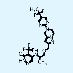 CC(COCc1cc2n(n1)CCN(c1ncc(C(C)(F)F)cn1)C2)Nc1cn[nH]c(=O)c1C(F)(F)F